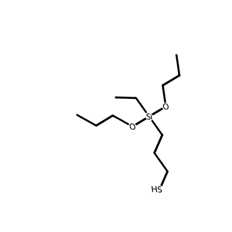 CCCO[Si](CC)(CCCS)OCCC